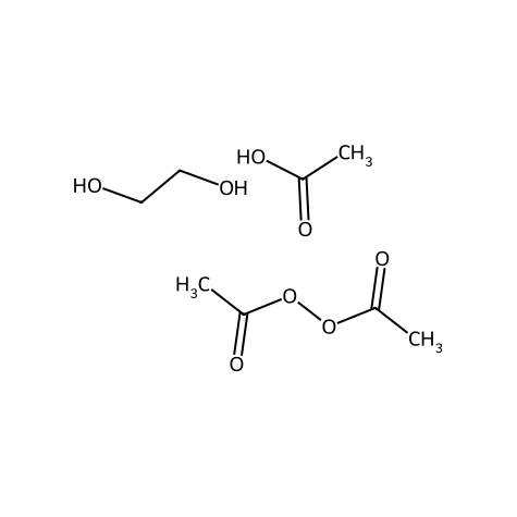 CC(=O)O.CC(=O)OOC(C)=O.OCCO